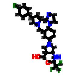 O=C(N[C@H]1CN(c2ccc3c(c2)Cn2cc(-c4ccc(F)cc4)cc2-c2nccn2-3)C[C@@H]1CO)C(F)(F)F